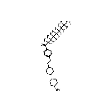 CCC[C@H]1CC[C@H](C2CCC(CCc3ccc(C(=O)C(F)(F)C(F)(F)C(F)(F)C(F)(F)C(F)(F)C(F)(F)C(F)(F)C(F)(F)F)cc3)CC2)CC1